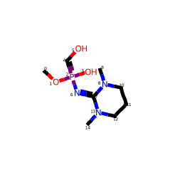 COP(O)(=CO)N=C1N(C)CCCN1C